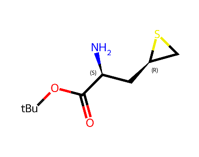 CC(C)(C)OC(=O)[C@@H](N)C[C@@H]1CS1